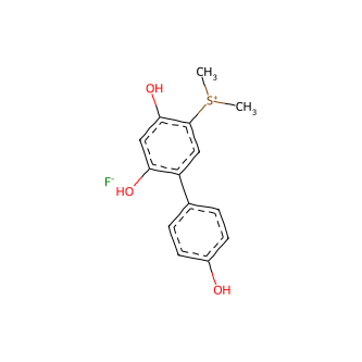 C[S+](C)c1cc(-c2ccc(O)cc2)c(O)cc1O.[F-]